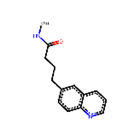 CC(C)(C)NC(=O)CCCc1ccc2ncccc2c1